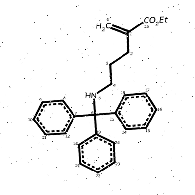 C=C(CCCNC(c1ccccc1)(c1ccccc1)c1ccccc1)C(=O)OCC